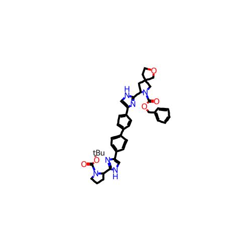 CC(C)(C)OC(=O)N1CCCC1c1nc(-c2ccc(-c3ccc(-c4c[nH]c(C5CC6(CCOC6)CN5C(=O)OCc5ccccc5)n4)cc3)cc2)c[nH]1